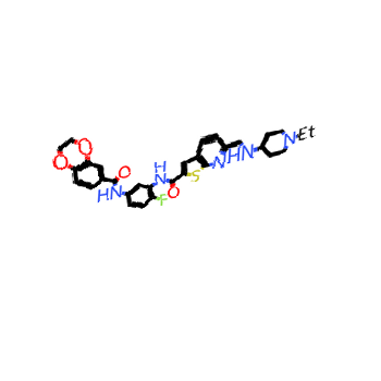 CCN1CCC(NCc2ccc3cc(C(=O)Nc4cc(NC(=O)c5ccc6c(c5)OCCO6)ccc4F)sc3n2)CC1